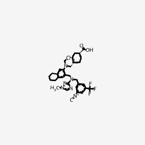 [C-]#[N+]c1cc(CN(Cc2cc3c(cc2N(CC)C[C@H]2CC[C@H](C(=O)O)CC2)CCCC3)c2ncn(C)n2)cc(C(F)(F)F)c1